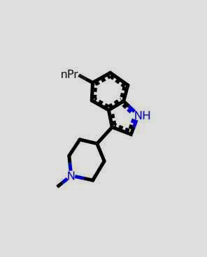 CCCc1ccc2[nH]cc(C3CCN(C)CC3)c2c1